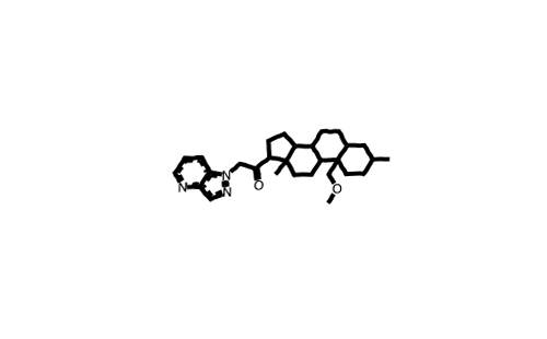 COCC12CCC(C)CC1CCC1C3CCC(C(=O)Cn4ncc5ncccc54)C3(C)CCC12